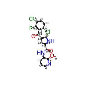 COc1ncccc1NC(=O)c1cc(C(=O)c2c(Cl)ccc(Cl)c2F)c[nH]1